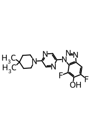 CC1(C)CCN(c2cnc(-n3nnc4cc(F)c(O)c(F)c43)cn2)CC1